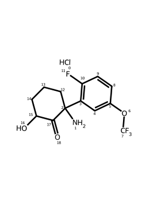 Cl.NC1(c2cc(OC(F)(F)F)ccc2F)CCCC(O)C1=O